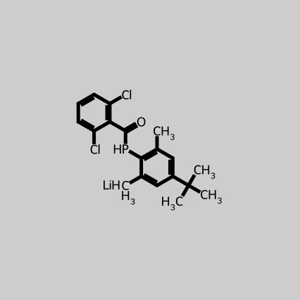 Cc1cc(C(C)(C)C)cc(C)c1PC(=O)c1c(Cl)cccc1Cl.[LiH]